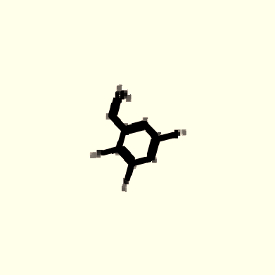 C=[C]c1cc(F)cc(F)c1F